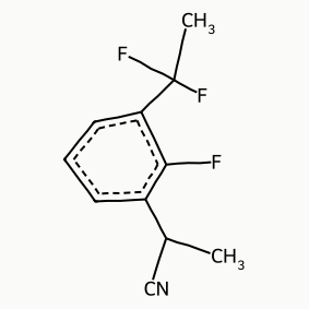 CC(C#N)c1cccc(C(C)(F)F)c1F